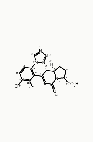 O=C(O)C1CC[C@@H]2CC(c3c(-n4cnnn4)ccc(Cl)c3F)=CC(=O)N12